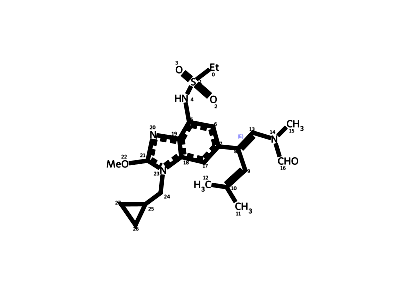 CCS(=O)(=O)Nc1cc(/C(C=C(C)C)=C/N(C)C=O)cc2c1nc(OC)n2CC1CC1